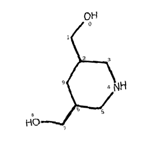 OCC1CNCC(CO)C1